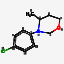 CC1CCOCN1c1ccc(Cl)cc1